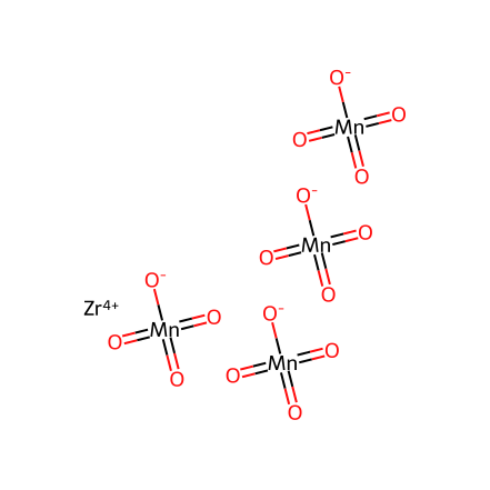 [O]=[Mn](=[O])(=[O])[O-].[O]=[Mn](=[O])(=[O])[O-].[O]=[Mn](=[O])(=[O])[O-].[O]=[Mn](=[O])(=[O])[O-].[Zr+4]